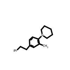 Cc1cc(CCC(C)C)ccc1N1CCCCC1